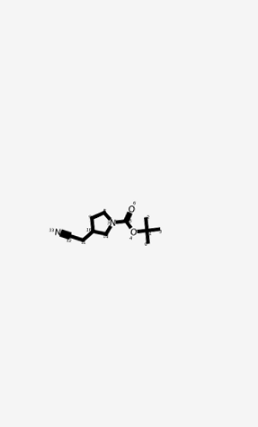 CC(C)(C)OC(=O)N1CCC(CC#N)C1